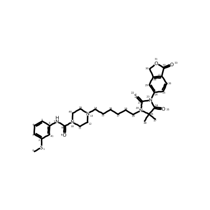 CSc1cccc(NC(=O)N2CCN(CCCCCCN3C(=S)N(c4ccc5c(c4)COC5=O)C(=O)C3(C)C)CC2)c1